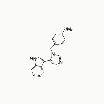 COc1ccc(Cn2cncc2-c2c[nH]c3ccccc23)cc1